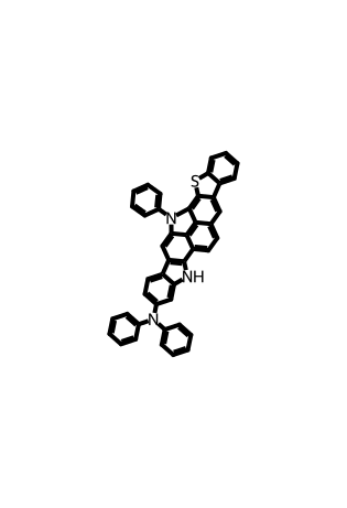 c1ccc(N(c2ccccc2)c2ccc3c(c2)[nH]c2c3cc3c4c2ccc2cc5c6ccccc6sc5c(c24)n3-c2ccccc2)cc1